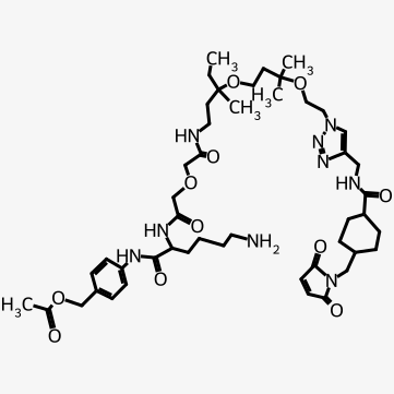 CCC(C)(CCNC(=O)COCC(=O)NC(CCCCN)C(=O)Nc1ccc(COC(C)=O)cc1)OCCC(C)(C)OCCn1cc(CNC(=O)C2CCC(CN3C(=O)C=CC3=O)CC2)nn1